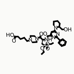 CCOP(=O)(C[C@H](NC(=O)c1cc(N2CCCCC2CO)nc(-c2ccccc2)n1)C(=O)N1CCN(CCCCC(=O)O)CC1)OCC